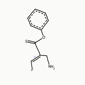 NC/C(=C\F)C(=S)Oc1ccccc1